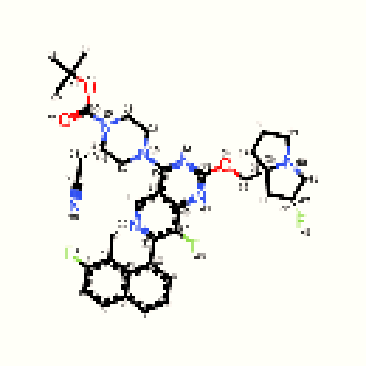 Cc1c(F)ccc2cccc(-c3ncc4c(N5CCN(C(=O)OC(C)(C)C)[C@@H](CC#N)C5)nc(OC[C@@]56CCCN5C[C@H](F)C6)nc4c3F)c12